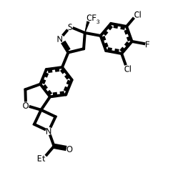 CCC(=O)N1CC2(C1)OCc1cc(C3=NS[C@@](c4cc(Cl)c(F)c(Cl)c4)(C(F)(F)F)C3)ccc12